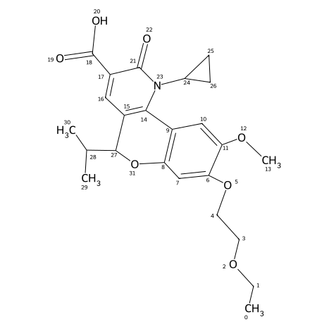 CCOCCOc1cc2c(cc1OC)-c1c(cc(C(=O)O)c(=O)n1C1CC1)C(C(C)C)O2